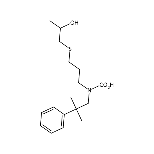 CC(O)CSCCCN(CC(C)(C)c1ccccc1)C(=O)O